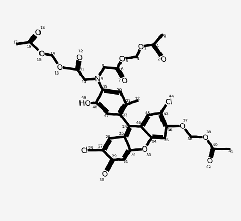 CC(=O)OCOC(=O)CN(CC(=O)OCOC(C)=O)c1cc(C)c(-c2c3cc(Cl)c(=O)cc-3oc3cc(OCOC(C)=O)c(Cl)cc23)cc1O